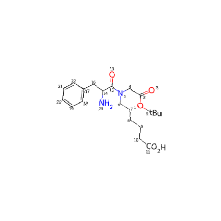 CC(C)(C)OC(=O)CN(CCCCCC(=O)O)C(=O)C(N)Cc1ccccc1